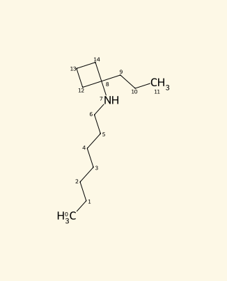 CCCCCCCNC1(CCC)CCC1